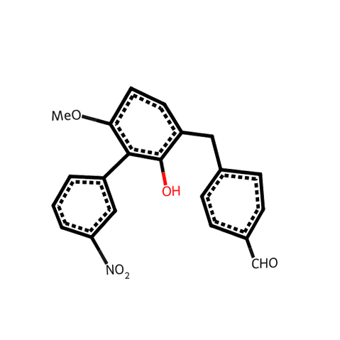 COc1ccc(Cc2ccc(C=O)cc2)c(O)c1-c1cccc([N+](=O)[O-])c1